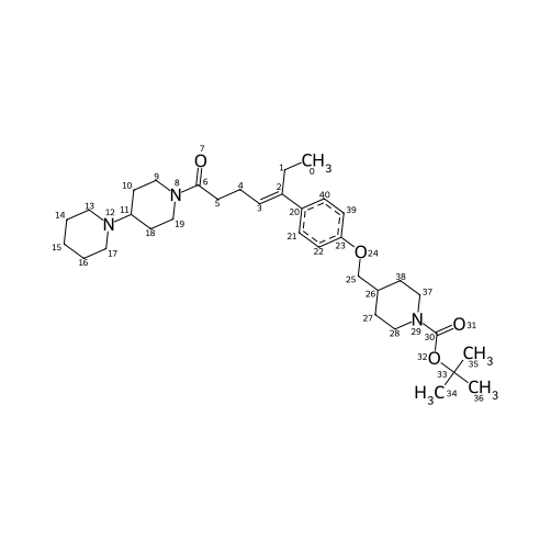 CC/C(=C\CCC(=O)N1CCC(N2CCCCC2)CC1)c1ccc(OCC2CCN(C(=O)OC(C)(C)C)CC2)cc1